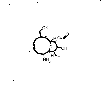 N[C@@H]1C/C=C\CC(CO)S[C@H]2O[C@H]1[C@H](O)[C@H](O)[C@H]2OC=O